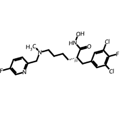 CN(CCCC[C@@H](Cc1cc(Cl)c(F)c(Cl)c1)C(=O)NO)Cc1ccc(F)cn1